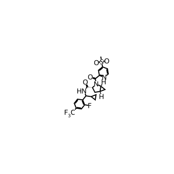 CS(=O)(=O)c1ccnc(C(=O)N2[C@@H](C(=O)NC(c3ccc(C(F)(F)F)cc3F)C3CC3)C[C@H]3C[C@H]32)c1